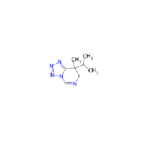 CC(C)C1(C)CN=Cn2nnnc21